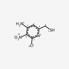 Nc1cc(CS)nc(Cl)c1[N+](=O)[O-]